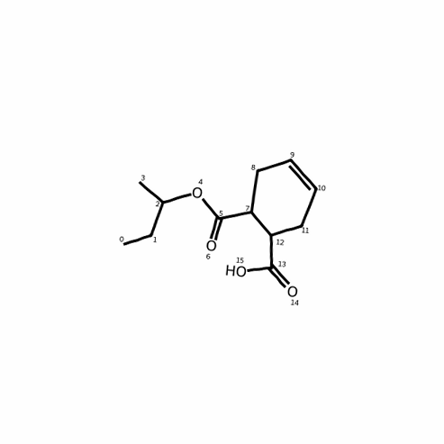 CCC(C)OC(=O)C1CC=CCC1C(=O)O